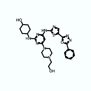 OCCN1CCN(c2cc(Nc3ncc(-c4nnc(-c5ccccc5)o4)s3)nc(NC3CCC(O)CC3)n2)CC1